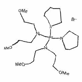 COCCN(CCOC)[P+](N1CCCC1)(N1CCCC1)N(CCOC)CCOC.[Br-]